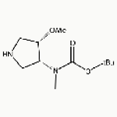 CO[C@H]1CNC[C@H]1N(C)C(=O)OC(C)(C)C